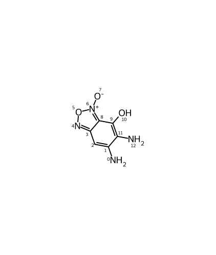 Nc1cc2no[n+]([O-])c2c(O)c1N